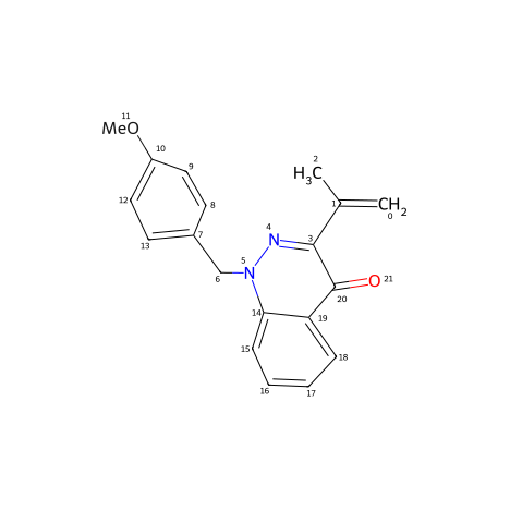 C=C(C)c1nn(Cc2ccc(OC)cc2)c2ccccc2c1=O